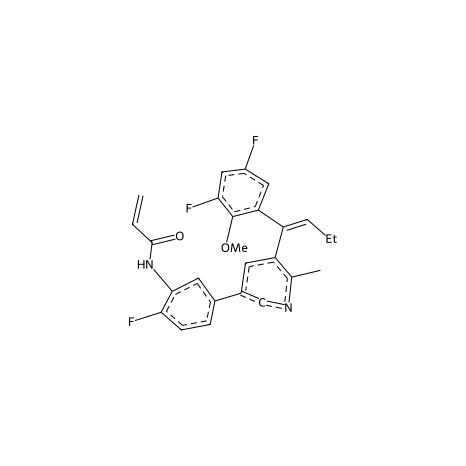 C=CC(=O)Nc1cc(-c2cnc(C)c(/C(=C\CC)c3cc(F)cc(F)c3OC)c2)ccc1F